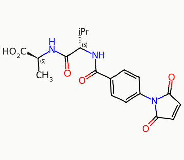 CC(C)[C@H](NC(=O)c1ccc(N2C(=O)C=CC2=O)cc1)C(=O)N[C@@H](C)C(=O)O